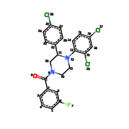 O=C(c1cccc(F)c1)N1CCN(c2ccc(Cl)cc2Cl)C(c2ccc(Cl)cc2)C1